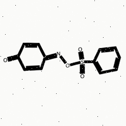 O=C1C=CC(=NOS(=O)(=O)c2ccccc2)C=C1